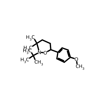 COc1ccc(C2CCC(C)(C)N(C(C)(C)C)O2)cc1